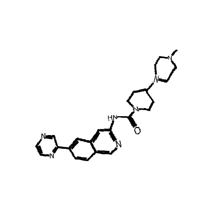 CN1CCN(C2CCN(C(=O)Nc3cc4cc(-c5cnccn5)ccc4cn3)CC2)CC1